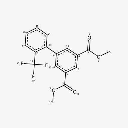 COC(=O)c1cc(C(=O)OC)cc(-c2ccccc2C(F)(F)F)c1